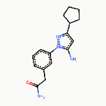 NC(=O)Cc1cccc(-n2nc(C3CCCC3)cc2N)c1